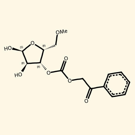 COC[C@H]1O[C@H](O)[C@H](O)[C@H]1OC(=O)OCC(=O)c1ccccc1